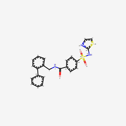 O=C(NCc1ccccc1-c1ccccc1)c1ccc(S(=O)(=O)Nc2nccs2)cc1